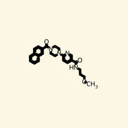 COCCCNC(=O)c1ccc(N2CCN(C(=O)c3ccc4ccccc4c3)CC2)nc1